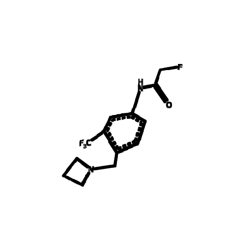 O=C(CF)Nc1ccc(CN2CCC2)c(C(F)(F)F)c1